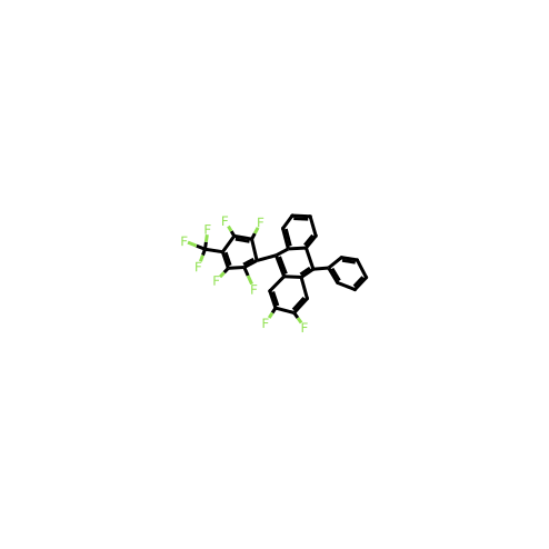 Fc1cc2c(-c3ccccc3)c3ccccc3c(-c3c(F)c(F)c(C(F)(F)F)c(F)c3F)c2cc1F